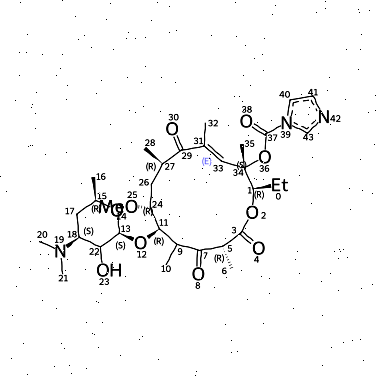 CC[C@H]1OC(=O)[C@H](C)C(=O)C(C)[C@@H](O[C@@H]2O[C@H](C)C[C@H](N(C)C)C2O)[C@H](OC)C[C@@H](C)C(=O)/C(C)=C/[C@]1(C)OC(=O)n1ccnc1